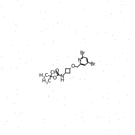 CC(C)(C)OC(=O)N[C@H]1C[C@H](OCc2cc(Br)cc(Br)n2)C1